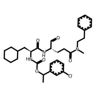 CC(OC(=O)N[C@@H](CC1CCCCC1)C(=O)N[C@H](C=O)CCC(=O)N(C)CCc1ccccc1)c1cccc(Cl)c1